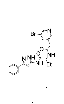 CCC(NC(=O)Cc1cncc(Br)c1)C(=O)Nc1cc(-c2ccccc2)n[nH]1